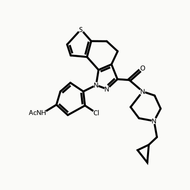 CC(=O)Nc1ccc(-n2nc(C(=O)N3CCN(CC4CC4)CC3)c3c2-c2ccsc2CC3)c(Cl)c1